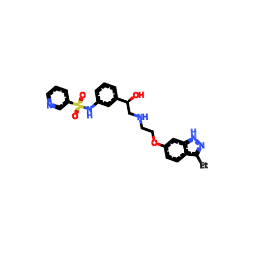 CCc1n[nH]c2cc(OCCNC[C@H](O)c3cccc(NS(=O)(=O)c4cccnc4)c3)ccc12